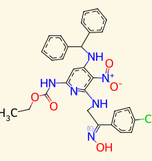 CCOC(=O)Nc1cc(NC(c2ccccc2)c2ccccc2)c([N+](=O)[O-])c(NC/C(=N/O)c2ccc(Cl)cc2)n1